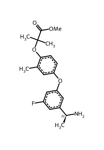 COC(=O)C(C)(C)Oc1ccc(Oc2cc(F)cc([C@H](C)N)c2)cc1C